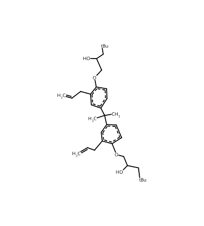 C=CCc1cc(C(C)(C)c2ccc(OCC(O)CC(C)(C)C)c(CC=C)c2)ccc1OCC(O)CC(C)(C)C